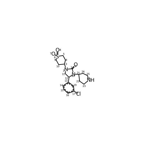 O=C1N(C2CCS(=O)(=O)CC2)CC(c2cccc(Cl)c2)N1C1CCNCC1